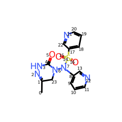 CC1=NNC(=O)N(N(c2cccnc2)S(=O)(=O)c2cccnc2)C1